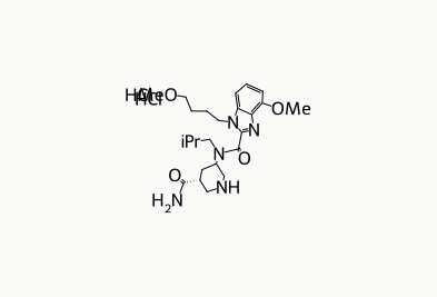 COCCCCn1c(C(=O)N(CC(C)C)[C@@H]2CNC[C@H](C(N)=O)C2)nc2c(OC)cccc21.Cl.Cl